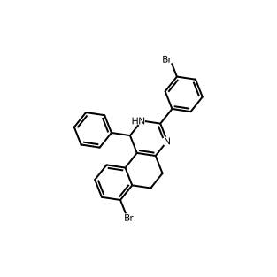 Brc1cccc(C2=NC3=C(c4cccc(Br)c4CC3)C(c3ccccc3)N2)c1